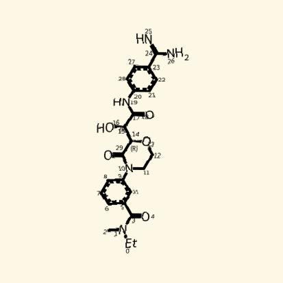 CCN(C)C(=O)c1cccc(N2CCO[C@H]([C@@H](O)C(=O)Nc3ccc(C(=N)N)cc3)C2=O)c1